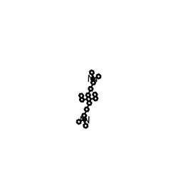 c1ccc(-c2nc3cc(-c4ccc(-c5ccc6c(-c7cccc8ccccc78)c7cc(-c8ccc(-c9ccc%10c(c9)nc(-c9ccccc9)n%10-c9ccccc9)cc8)ccc7c(-c7cccc8ccccc78)c6c5)cc4)ccc3n2-c2ccccc2)cc1